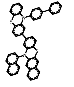 c1ccc(-c2ccc(N3c4ccccc4Sc4ccc(-c5ccc6c(c5)N(c5cccc7ccccc57)c5cc7ccccc7cc5S6)cc43)cc2)cc1